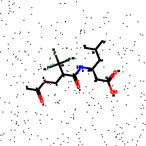 CC(=O)SCC(C(=O)N[C@H](CC(=O)O)CC(C)C)C(F)(F)F